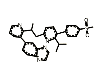 CC(C)c1nc(CC(C)c2ncccc2-c2ccc3nccnc3c2)ccc1-c1ccc(S(C)(=O)=O)cc1